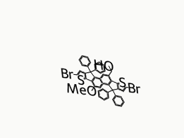 COc1cc2c3c(c(CO)cc2c2c1-c1sc(Br)cc1C2(c1ccccc1)c1ccccc1)-c1sc(Br)cc1C3(c1ccccc1)c1ccccc1